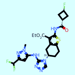 CCOC(=O)c1c(NC(=O)[C@H]2C[C@H](F)C2)sc2c1C[C@@H](n1cnnc1Nc1cc(C(F)F)nn1C)CC2